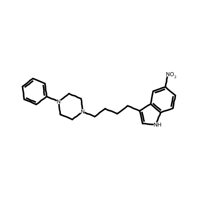 O=[N+]([O-])c1ccc2[nH]cc(CCCCN3CCN(c4ccccc4)CC3)c2c1